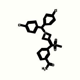 CS(=O)(=O)C(=C1CN(C(c2ccc(Cl)cc2)c2ccc(Cl)cc2)C1)c1cccc(C(N)=O)c1